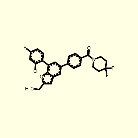 CCc1cc2cc(-c3ccc(C(=O)N4CCC(F)(F)CC4)cc3)cc(-c3ccc(F)cc3Cl)c2o1